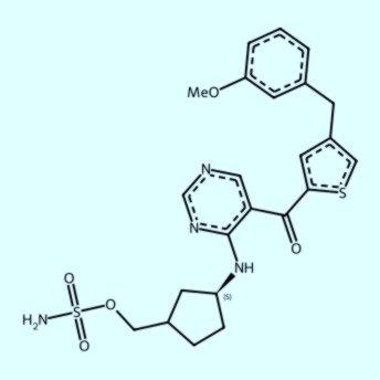 COc1cccc(Cc2csc(C(=O)c3cncnc3N[C@H]3CCC(COS(N)(=O)=O)C3)c2)c1